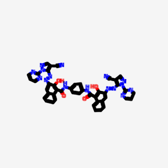 N#Cc1cnn(-c2ncccn2)c1/N=N/c1cc2ccccc2c(C(=O)Nc2ccc(NC(=O)c3c(O)c(/N=N/c4c(C#N)cnn4-c4ncccn4)cc4ccccc34)cc2)c1O